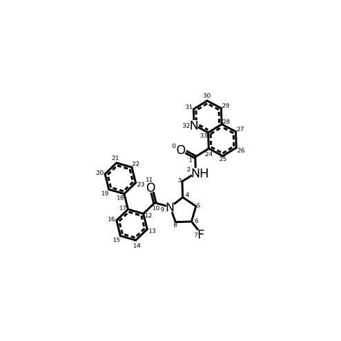 O=C(NCC1CC(F)CN1C(=O)c1ccccc1-c1ccccc1)c1cccc2cccnc12